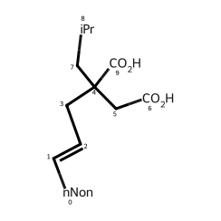 CCCCCCCCCC=CCC(CC(=O)O)(CC(C)C)C(=O)O